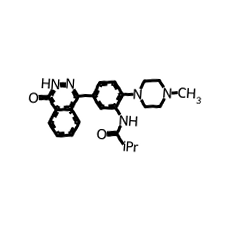 CC(C)C(=O)Nc1cc(-c2n[nH]c(=O)c3ccccc23)ccc1N1CCN(C)CC1